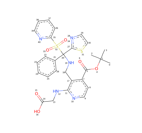 CC(C)(C)OC(=O)c1ccnc(NCC(=O)O)c1CNC(c1ccccc1)(c1nccs1)S(=O)(=O)c1ccccn1